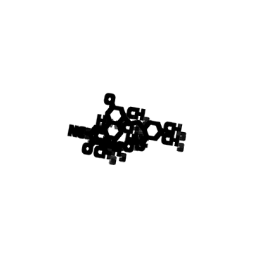 COC(=O)C[C@]1(CC[C@]2(C)CC(=O)C[C@@H]3[C@@]4(C)C=C(C#N)C(=O)C(C)(C)[C@@H]4CC[C@]32C)CCC(C)(C)CC1C